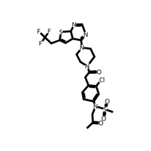 CC(=O)CN(c1ccc(CC(=O)N2CCN(C3=NC=NC4SC(CC(F)(F)F)=CC34)CC2)c(Cl)c1)S(C)(=O)=O